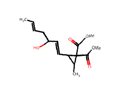 CC=CCC(O)C=CC1C(C)C1(C(=O)OC)C(=O)OC